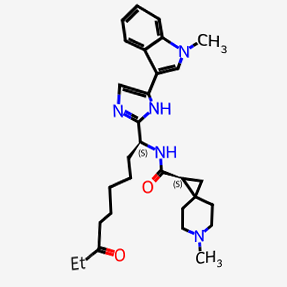 CCC(=O)CCCCC[C@H](NC(=O)[C@H]1CC12CCN(C)CC2)c1ncc(-c2cn(C)c3ccccc23)[nH]1